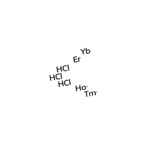 Cl.Cl.Cl.[Er].[Ho].[Tm].[Yb]